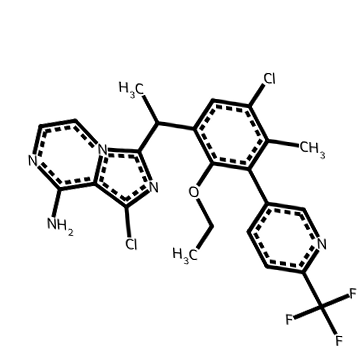 CCOc1c(C(C)c2nc(Cl)c3c(N)nccn23)cc(Cl)c(C)c1-c1ccc(C(F)(F)F)nc1